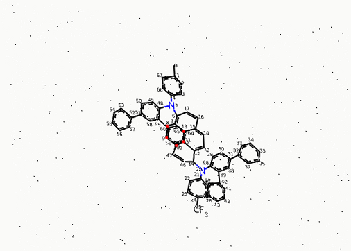 Cc1ccc(N(C2=C3C=CC4=C5C(=CC=C(C=C2)C35)C(N(c2ccc(C(F)(F)F)cc2)c2ccc(-c3ccccc3)cc2-c2ccccc2)C=C4)c2ccc(-c3ccccc3)cc2-c2ccccc2)cc1